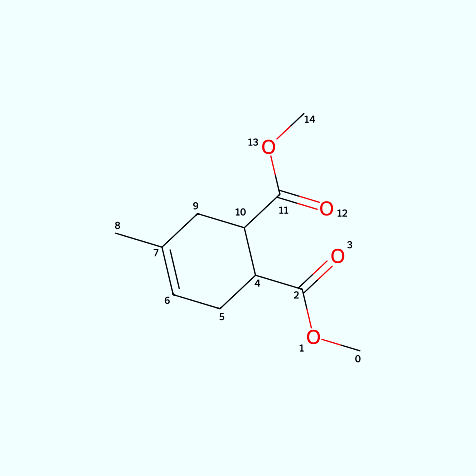 COC(=O)C1CC=C(C)CC1C(=O)OC